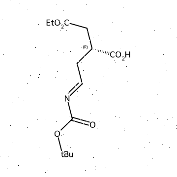 CCOC(=O)C[C@@H](CC=NC(=O)OC(C)(C)C)C(=O)O